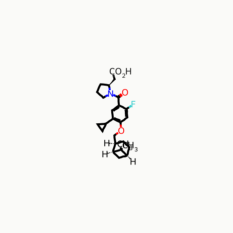 CC1(C)[C@H]2CC[C@H](COc3cc(F)c(C(=O)N4CCC[C@H]4CC(=O)O)cc3C3CC3)[C@@H]1C2